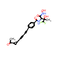 CC(=O)C1CC1C#CC#Cc1ccc(C(=O)NC(C(=O)NO)C(C)(O)C(F)F)cc1